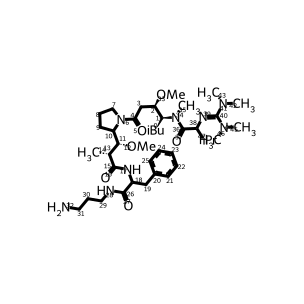 CC[C@H](C)[C@@H]([C@@H](CC(=O)N1CCCC1[C@H](OC)[C@@H](C)C(=O)NC(Cc1ccccc1)C(=O)NCCCN)OC)N(C)C(=O)C(N=C(N(C)C)N(C)C)C(C)C